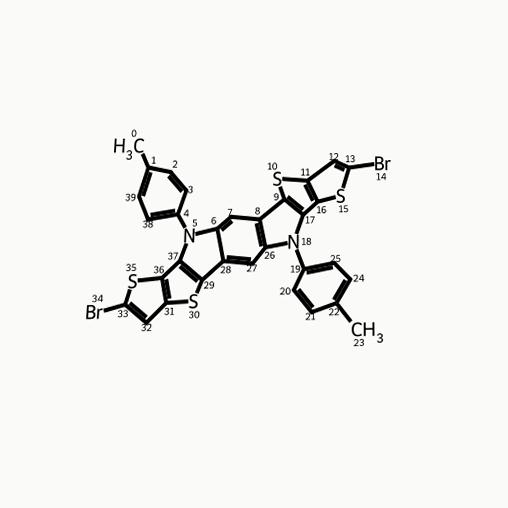 Cc1ccc(-n2c3cc4c5sc6cc(Br)sc6c5n(-c5ccc(C)cc5)c4cc3c3sc4cc(Br)sc4c32)cc1